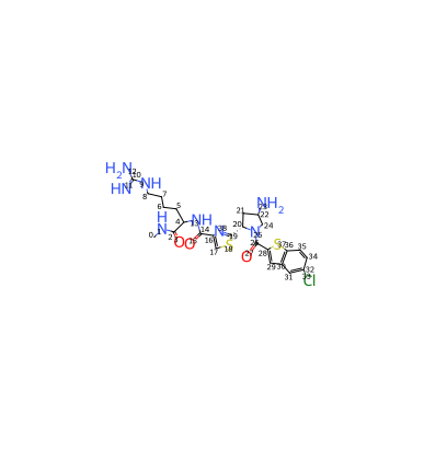 CNC(=O)C(CCCCNC(=N)N)NC(=O)c1csc([C@@H]2C[C@@H](N)CN2C(=O)c2cc3cc(Cl)ccc3s2)n1